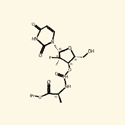 CC(C)OC(=O)[C@H](C)N[PH](=O)O[C@@H]1[C@@H](CO)O[C@@H](n2ccc(=O)[nH]c2=O)[C@]1(C)F